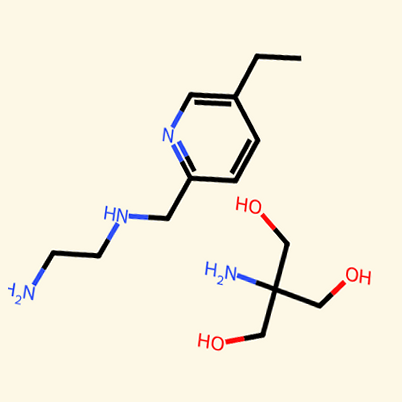 CCc1ccc(CNCCN)nc1.NC(CO)(CO)CO